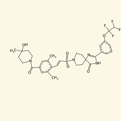 Cc1cc(C(=O)N2CCC(C)(O)CC2)cc(C)c1C=CS(=O)(=O)N1CCC2(CC1)N=C(c1cccc(OC(F)(F)C(F)F)c1)NC2=O